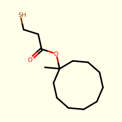 CC1(OC(=O)CCS)CCCCCCCCC1